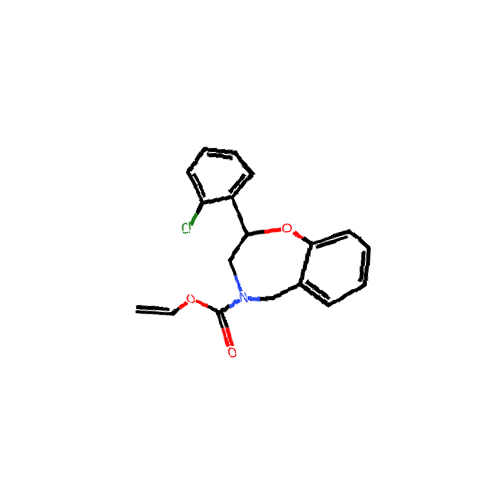 C=COC(=O)N1Cc2ccccc2OC(c2ccccc2Cl)C1